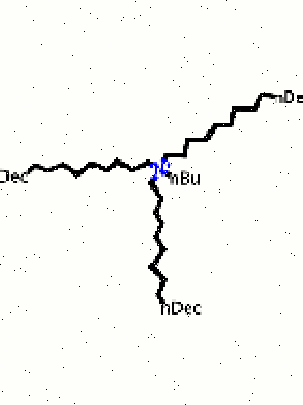 CCCCCCCCCCCCCCCCCCC[N+](CCCC)(CCCCCCCCCCCCCCCCCCC)CCCCCCCCCCCCCCCCCCC